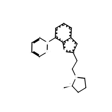 C[C@@H]1CCCN1CCc1cc2cccc(N3C=CC=CN3)c2o1